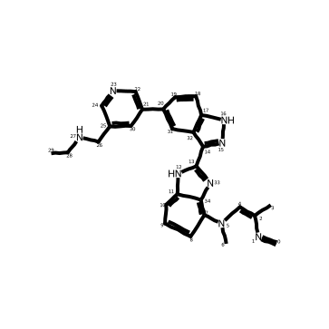 C=N/C(C)=C\N(C)c1cccc2[nH]c(-c3n[nH]c4ccc(-c5cncc(CNCC)c5)cc34)nc12